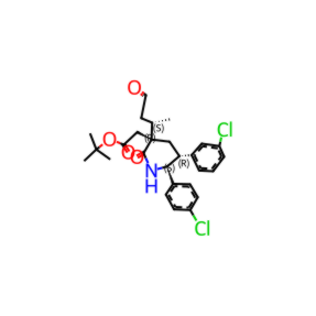 C[C@@H](CC=O)[C@]1(CC(=O)OC(C)(C)C)C[C@H](c2cccc(Cl)c2)[C@@H](c2ccc(Cl)cc2)NC1=O